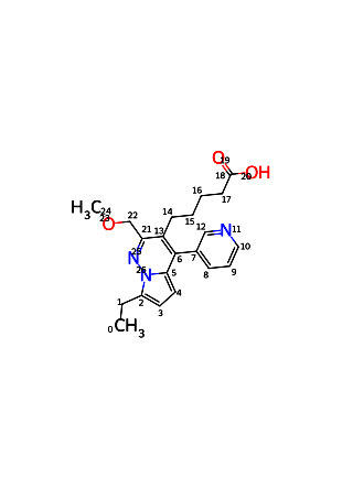 CCc1ccc2c(-c3cccnc3)c(CCCCC(=O)O)c(COC)nn12